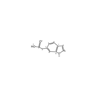 O=C(O)Cc1ccc2cnoc2c1